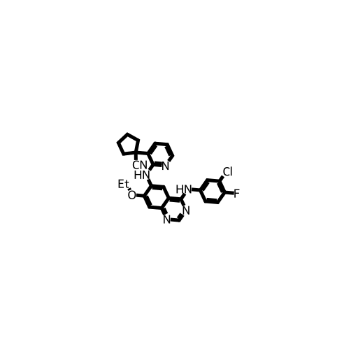 CCOc1cc2ncnc(Nc3ccc(F)c(Cl)c3)c2cc1Nc1ncccc1C1(C#N)CCCC1